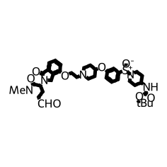 CNC(=O)C(CCC=O)N1Cc2c(OCCN3CCC(Oc4cccc([S+]([O-])N5CCC(NC(=O)OC(C)(C)C)CC5)c4)CC3)cccc2C1=O